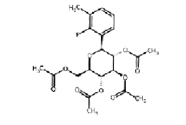 CC(=O)OC[C@H]1O[C@@H](c2cccc(C)c2F)[C@H](OC(C)=O)[C@@H](OC(C)=O)[C@@H]1OC(C)=O